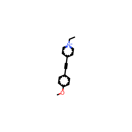 CC[n+]1ccc(C#Cc2ccc(OC)cc2)cc1